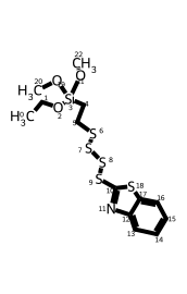 CCO[Si](CCSSSSc1nc2ccccc2s1)(OC)OC